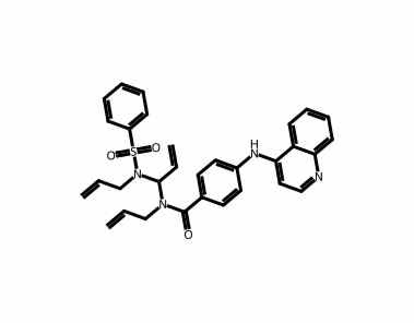 C=CCN(C(=O)c1ccc(Nc2ccnc3ccccc23)cc1)C(C=C)N(CC=C)S(=O)(=O)c1ccccc1